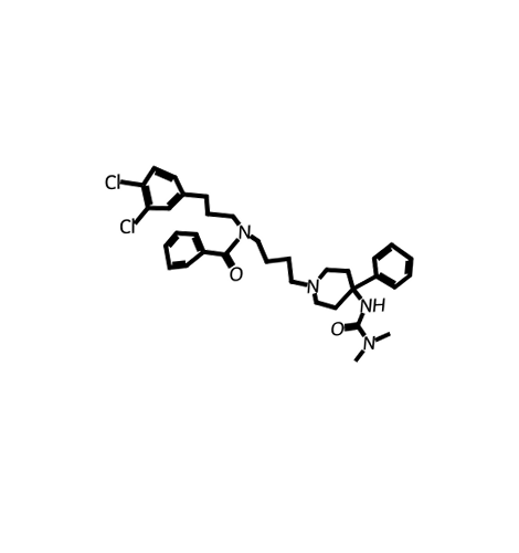 CN(C)C(=O)NC1(c2ccccc2)CCN(CCCCN(CCCc2ccc(Cl)c(Cl)c2)C(=O)c2ccccc2)CC1